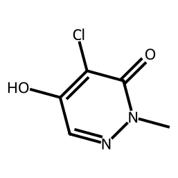 Cn1ncc(O)c(Cl)c1=O